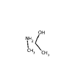 CCO.CN